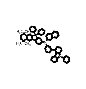 CC1(C)CCC(C)(C)c2cc3c(cc21)-c1ccc(N(c2cccc(-c4cccc5c4c4ccccc4n5-c4ccccc4)c2)c2ccc4ccccc4c2)cc1C3(c1ccccc1)c1ccccc1